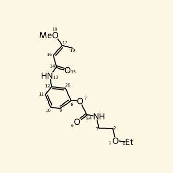 CCOCCNC(=O)Oc1cccc(NC(=O)C=C(C)OC)c1